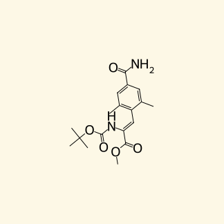 COC(=O)C(=Cc1c(C)cc(C(N)=O)cc1C)NC(=O)OC(C)(C)C